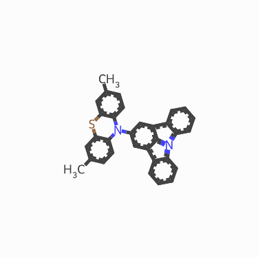 Cc1ccc2c(c1)Sc1cc(C)ccc1N2c1cc2c3ccccc3n3c4ccccc4c(c1)c23